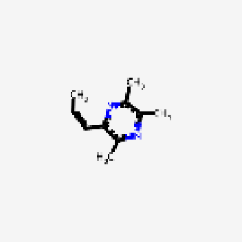 C/C=C\c1nc(C)c(C)nc1C